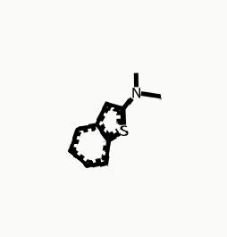 CN(C)c1cc2ccccc2s1